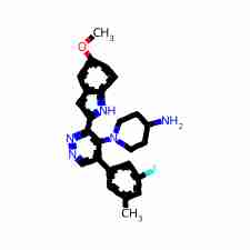 COc1ccc2[nH]c(-c3nncc(-c4cc(C)cc(F)c4)c3N3CCC(N)CC3)cc2c1